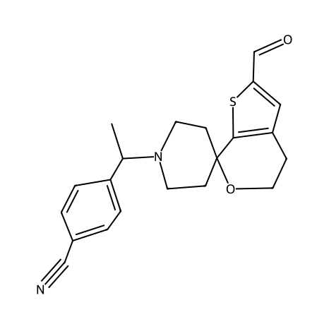 CC(c1ccc(C#N)cc1)N1CCC2(CC1)OCCc1cc(C=O)sc12